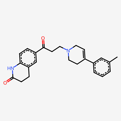 Cc1cccc(C2=CCN(CCC(=O)c3ccc4c(c3)CCC(=O)N4)CC2)c1